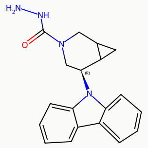 NNC(=O)N1CC2CC2[C@@H](n2c3ccccc3c3ccccc32)C1